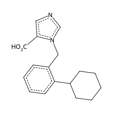 O=C(O)c1cncn1Cc1ccccc1C1CCCCC1